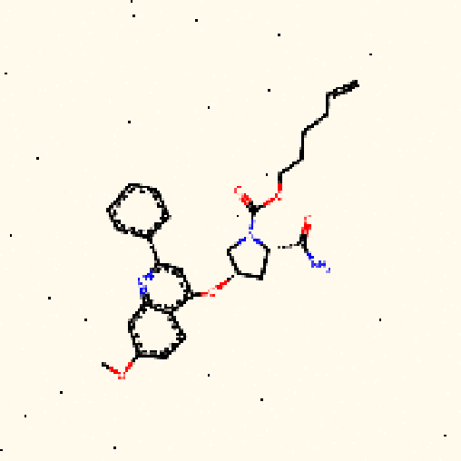 C=CCCCCOC(=O)N1C[C@H](Oc2cc(-c3ccccc3)nc3cc(OC)ccc23)C[C@H]1C(N)=O